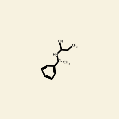 C[C@@H](NC(C#N)CC(F)(F)F)c1ccccc1